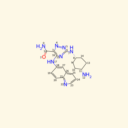 NC(=O)c1nnc(N[C@H]2CC[C@@H](N)CC2)nc1Nc1ccc2ncccc2c1